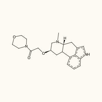 CN1C[C@H](OCC(=O)N2CCOCC2)CC2c3cccc4[nH]cc(c34)C[C@H]21